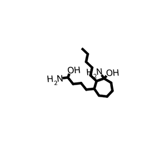 CCCCCC1C(CCCC(N)O)CCCCC1(N)O